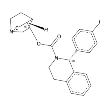 O=C(O[C@@H]1CN2CCC1CC2)N1CCc2ccccc2[C@H]1c1ccc(F)cc1